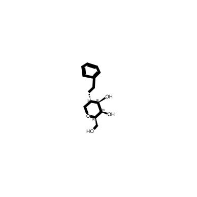 OC[C@H]1OC[C@H](CCc2ccccc2)[C@@H](O)[C@H]1O